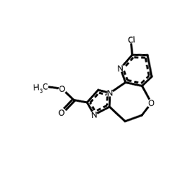 COC(=O)c1cn2c(n1)CCOc1ccc(Cl)nc1-2